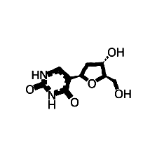 O=c1[nH]cc([C@H]2C[C@H](O)[C@@H](CO)O2)c(=O)[nH]1